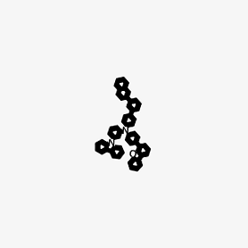 c1cc(-c2ccc(N(c3ccc(-c4cccc5c4oc4ccccc45)cc3)c3cccc(-n4c5ccccc5c5ccccc54)c3)cc2)cc(-c2ccc3ccccc3c2)c1